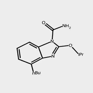 CCCCc1cccc2c1nc(OC(C)C)n2C(N)=O